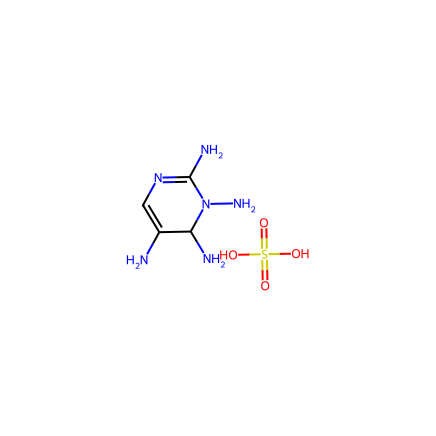 NC1=CN=C(N)N(N)C1N.O=S(=O)(O)O